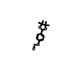 CC1(C)OB(c2ccc(OP=O)cc2)OC1(C)C